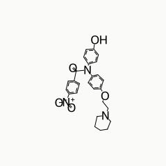 O=C(c1ccc([N+](=O)[O-])cc1)N(c1ccc(O)cc1)c1ccc(OCCN2CCCCC2)cc1